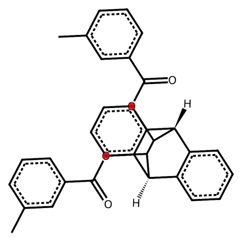 Cc1cccc(C(=O)OC2C(OC(=O)c3cccc(C)c3)[C@H]3c4ccccc4[C@H]2c2ccccc23)c1